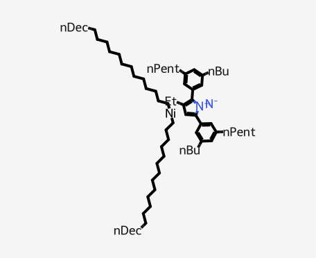 CCCCCCCCCCCCCCCCCCCCCC[CH2][Ni][CH2]CCCCCCCCCCCCCCCCCCCCCC.CCCCCc1cc(CCCC)cc(C2=CC(CC)=C(c3cc(CCCC)cc(CCCCC)c3)[N+]2=[N-])c1